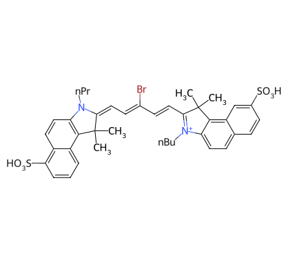 CCCC[N+]1=C(/C=C/C(Br)=C/C=C2/N(CCC)c3ccc4c(S(=O)(=O)O)cccc4c3C2(C)C)C(C)(C)c2c1ccc1ccc(S(=O)(=O)O)cc21